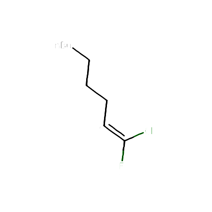 CCCCCCCC=C(F)Cl